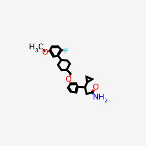 COc1ccc(F)c(C2CCC(COc3cccc(C(CC(N)=O)C4CC4)c3)CC2)c1